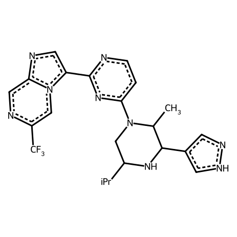 CC(C)C1CN(c2ccnc(-c3cnc4cnc(C(F)(F)F)cn34)n2)C(C)C(c2cn[nH]c2)N1